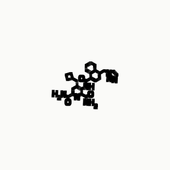 NC(=O)c1cc(CC2CCC2)c(NC(=O)c2ccc(Cn3ccnn3)c3ccccc23)c(C(N)=O)n1